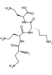 NCCC[C@H](NC(=O)[C@H](CCN)NC(=O)[C@@H](N)CCN)C(=O)N[C@@H](CCN)C(=O)O